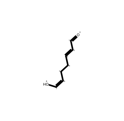 O=CC=CCC/C=C\O